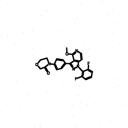 COc1nccc2c1c(-c1ccc(N3CCOCC3=O)cc1)nn2-c1c(F)cccc1F